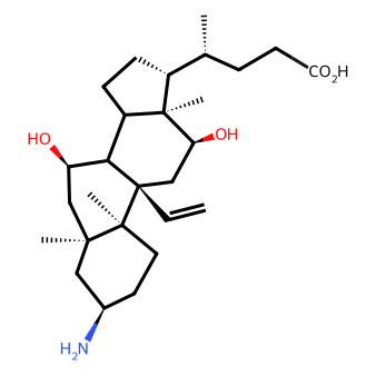 C=C[C@]12C[C@H](O)[C@@]3(C)C(CC[C@@H]3[C@H](C)CCC(=O)O)C1[C@H](O)C[C@]1(C)C[C@H](N)CC[C@@]12C